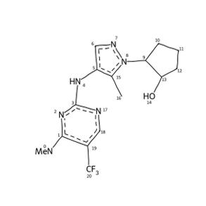 CNc1nc(Nc2cnn(C3CCCC3O)c2C)ncc1C(F)(F)F